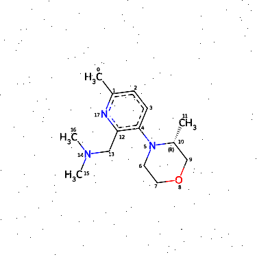 Cc1ccc(N2CCOC[C@H]2C)c(CN(C)C)n1